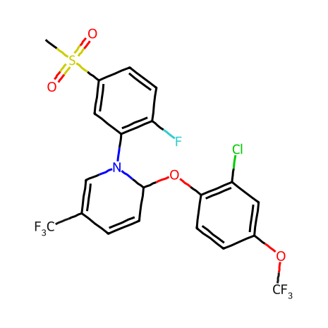 CS(=O)(=O)c1ccc(F)c(N2C=C(C(F)(F)F)C=CC2Oc2ccc(OC(F)(F)F)cc2Cl)c1